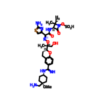 CO[C@]1(CN)CC[C@H](NC(=N)c2ccc3c(c2)CC[C@H]([C@@](C)(CO)O/N=C(\C(=O)N[C@@H]2C(=O)N(OS(=O)(=O)O)C2(C)C)c2csc(N)n2)O3)CC1